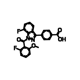 COc1cccc(F)c1C(=O)n1nc(-c2ccc(C(=O)O)cc2)c2cccc(F)c21